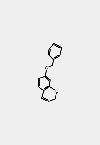 C1=Cc2ccc(OCc3ccccc3)cc2OC1